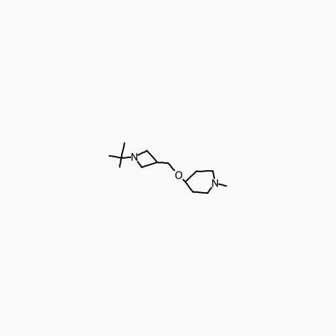 CN1CCC(OCC2CN(C(C)(C)C)C2)CC1